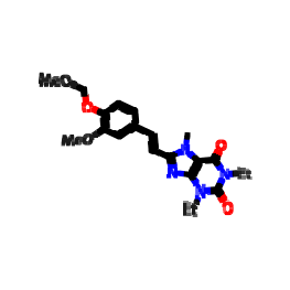 CCn1c(=O)c2c(nc(C=Cc3ccc(OCOC)c(OC)c3)n2C)n(CC)c1=O